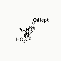 CCCCCCCOc1ccc(-c2cnc(-c3ccc(C[C@H](NC(=O)c4ccc(C(C)C)cc4)C(=O)N4CCC[C@H]4C(=O)O)cc3)nc2)cc1